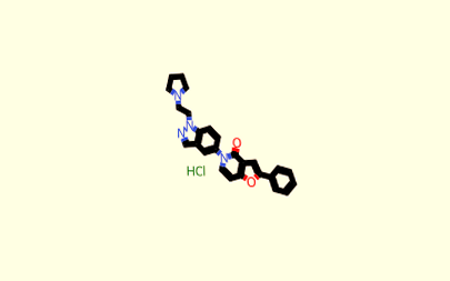 Cl.O=c1c2cc(-c3ccccc3)oc2ccn1-c1ccc2c(cnn2CCN2CCCC2)c1